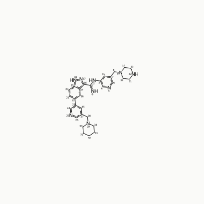 N=C(Nc1cncc(CN2CCNCC2)c1)c1n[nH]c2ccc(-c3cncc(CN4CCCCC4)c3)cc12